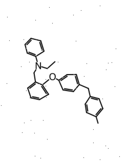 CCN(Cc1ccccc1Oc1ccc(Cc2ccc(C)cc2)cc1)c1ccccc1